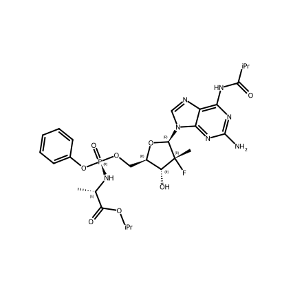 CC(C)OC(=O)[C@H](C)N[P@@](=O)(OC[C@H]1O[C@@H](n2cnc3c(NC(=O)C(C)C)nc(N)nc32)[C@](C)(F)[C@@H]1O)Oc1ccccc1